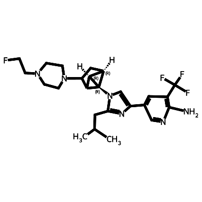 CC(C)Cc1nc(-c2cnc(N)c(C(F)(F)F)c2)cn1[C@]12C3C(N4CCN(CCF)CC4)C[C@@H]1[C@H]32